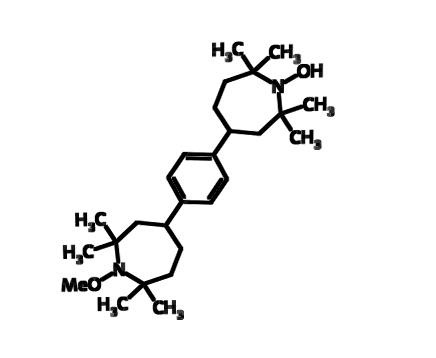 CON1C(C)(C)CCC(c2ccc(C3CCC(C)(C)N(O)C(C)(C)C3)cc2)CC1(C)C